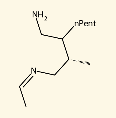 C/C=N\C[C@@H](C)C(CN)CCCCC